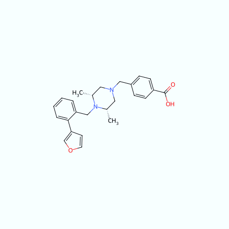 C[C@@H]1CN(Cc2ccc(C(=O)O)cc2)C[C@H](C)N1Cc1ccccc1-c1ccoc1